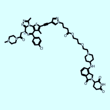 Cc1c(C#Cc2cnn(CCCC(=O)OCCCOCCN3CCC(Nc4cccc5c4CN(C4CCC(=O)NC4=O)C5=O)CC3)c2)sc2c1C(c1ccc(Cl)cc1)=N[C@@H](CC(=O)N1CCN(C)CC1)c1nnc(C)n1-2